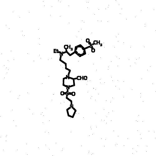 CCN(CCCCN1CCN(S(=O)(=O)CCN2CCCC2)CC1C=O)C(C)Cc1ccc(S(C)(=O)=O)cc1